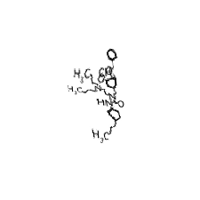 CCCCc1ccc(NC(=O)N(CCN(CCCC)CCCC)Cc2ccc(OCc3ccccc3)c(OC)c2)cc1